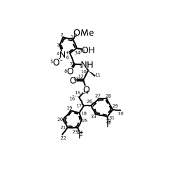 COc1cc[n+]([O-])c(C(=O)N[C@@H](C)C(=O)O[C@@H](C)C(c2ccc(C)c(F)c2)c2ccc(C)c(F)c2)c1O